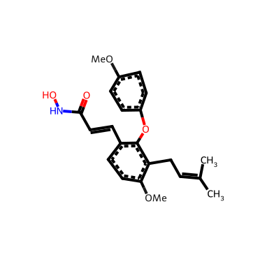 COc1ccc(Oc2c(/C=C/C(=O)NO)ccc(OC)c2CC=C(C)C)cc1